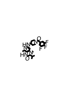 Cc1nc(NC2CCN(C(=O)c3cc(F)c(F)c(F)c3)CC2)cc2c1NC(=O)C(C(C)C)N2C